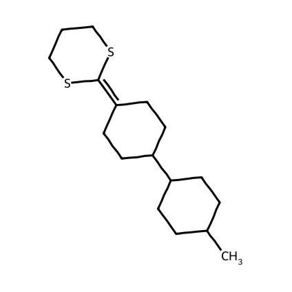 CC1CCC(C2CCC(=C3SCCCS3)CC2)CC1